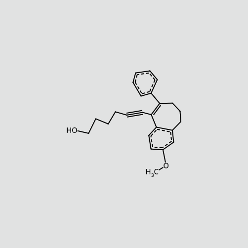 COc1ccc2c(c1)CCCC(c1ccccc1)=C2C#CCCCCO